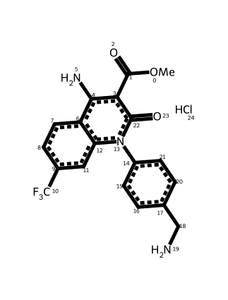 COC(=O)c1c(N)c2ccc(C(F)(F)F)cc2n(-c2ccc(CN)cc2)c1=O.Cl